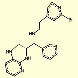 Brc1cc(CCN[C@H](c2ccccc2)[C@H]2CNc3cccnc3N2)ccn1